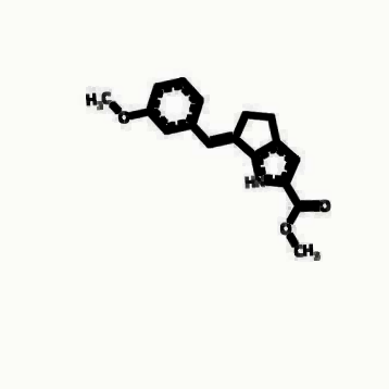 COC(=O)c1cc2c([nH]1)/C(=C/c1cccc(OC)c1)CC2